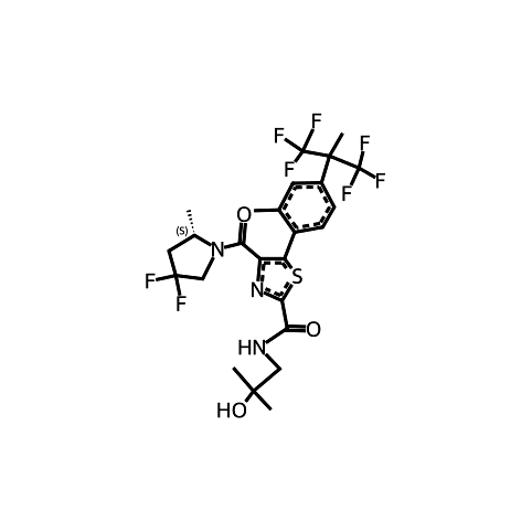 Cc1cc(C(C)(C(F)(F)F)C(F)(F)F)ccc1-c1sc(C(=O)NCC(C)(C)O)nc1C(=O)N1CC(F)(F)C[C@@H]1C